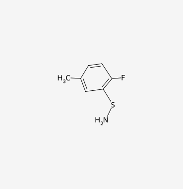 Cc1ccc(F)c(SN)c1